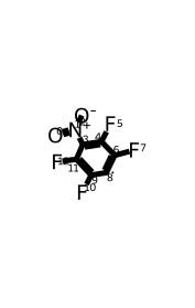 O=[N+]([O-])c1c(F)c(F)[c]c(F)c1F